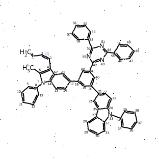 C=C/C=C\c1c(C)n(-c2ccccc2)c2ccc(-c3cc(-c4ccc5c(c4)c4ccccc4n5-c4ccccc4)cc(-c4nc(-c5ccccc5)nc(-c5ccccc5)n4)c3)cc12